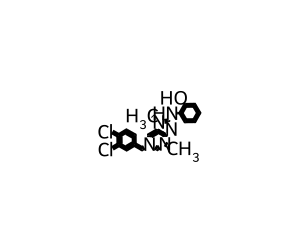 CN1CN(Cc2ccc(Cl)c(Cl)c2)C=C2C1=NC(N[C@@H]1CCCC[C@H]1O)N2C